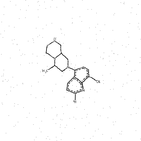 [2H]c1ccc2c(N3CC(C)N4CCNCC4C3)ccc(C#N)c2n1